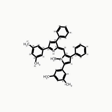 Bn1c(-c2cc(C)cc(C)c2)cc(-c2ccccc2)c1/C=C1\N=C(c2cc(C)cc(C)c2)C=C1c1ccccc1